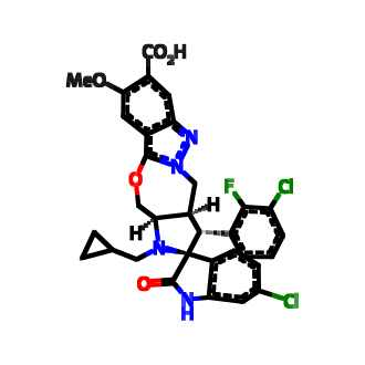 COc1cc2c3n(nc2cc1C(=O)O)C[C@@H]1[C@H](CO3)N(CC2CC2)[C@@]2(C(=O)Nc3cc(Cl)ccc32)[C@H]1c1cccc(Cl)c1F